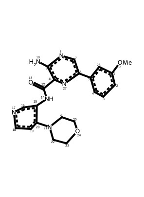 COc1cccc(-c2cnc(N)c(C(=O)Nc3cnccc3N3CCOCC3)n2)c1